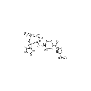 O=Cc1ccn(C(=O)N2CCN(Cc3ccc(C(F)(F)F)cc3N3CCCC3)CC2)n1